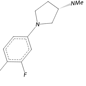 CCc1ccc(N2CC[C@H](NC)C2)cc1F